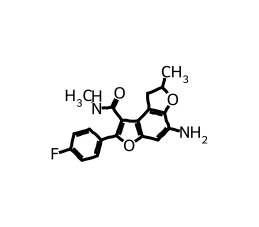 CNC(=O)c1c(-c2ccc(F)cc2)oc2cc(N)c3c(c12)CC(C)O3